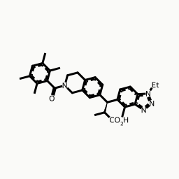 CCn1nnc2c(C)c([C@H](c3ccc4c(c3)CN(C(=O)c3c(C)c(C)cc(C)c3C)CC4)C(C)C(=O)O)ccc21